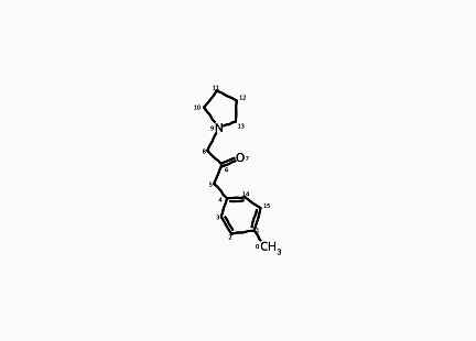 Cc1ccc(CC(=O)CN2CCCC2)cc1